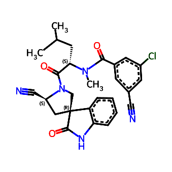 CC(C)C[C@@H](C(=O)N1C[C@]2(C[C@H]1C#N)C(=O)Nc1ccccc12)N(C)C(=O)c1cc(Cl)cc(C#N)c1